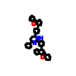 C1=CC2Oc3c(cc(-c4cccc(C5=NC(c6ccccc6)CCC(c6ccc(-c7cccc8c7oc7ccccc78)cc6)N5)c4)c4ccccc34)C2C=C1